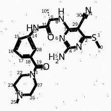 CSc1nc(N)nc(N[C@@H](C)C(=O)Nc2cccc(C(=O)N3CCN(C)CC3)c2)c1C#N